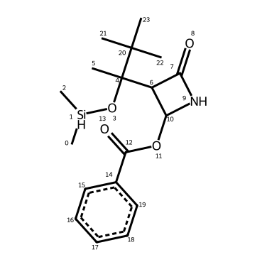 C[SiH](C)OC(C)(C1C(=O)NC1OC(=O)c1ccccc1)C(C)(C)C